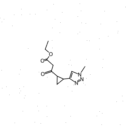 CCOC(=O)CC(=O)C1CC1c1cn(C)nn1